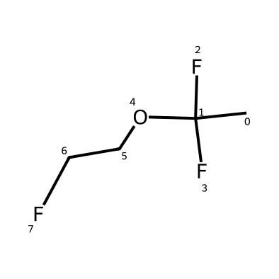 CC(F)(F)OCCF